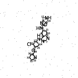 Clc1cc(Nc2ncnc3ccc(NC4=NC5CNCC5O4)cc23)ccc1OCc1ccccn1